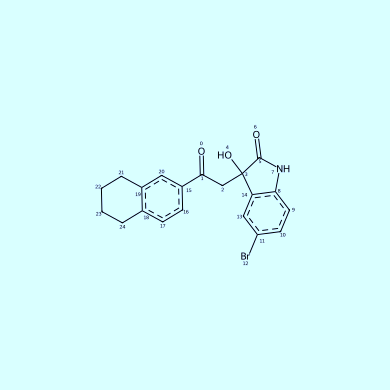 O=C(CC1(O)C(=O)Nc2ccc(Br)cc21)c1ccc2c(c1)CCCC2